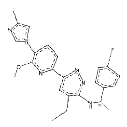 CCc1cc(-c2ccc(-n3cnc(C)c3)c(OC)n2)nnc1N[C@@H](C)c1ccc(F)cc1